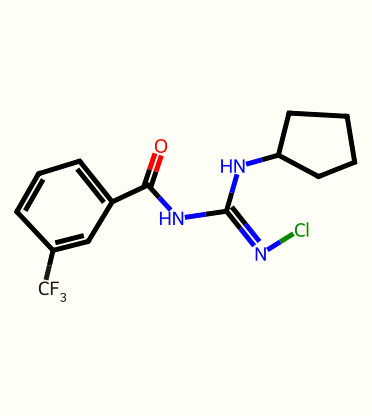 O=C(NC(=NCl)NC1CCCC1)c1cccc(C(F)(F)F)c1